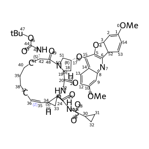 COC1=CC2Oc3c(nc4cc(OC)ccc4c3O[C@@H]3C[C@H]4C(=O)N[C@]5(C(=O)NS(=O)(=O)C6CC6)C[C@H]5/C=C\CCCCC[C@H](NC(=O)OC(C)(C)C)C(=O)N4C3)C2C=C1